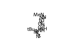 CNc1ncc2cc(N3CCC(NC(=O)Nc4cc(C(C)(C)C)nn4-c4cnsc4)C3)c(=O)n(C)c2n1